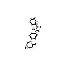 O=C1CNCCN1c1ccc(S(=O)(=O)Nc2ccccc2)cc1